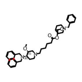 CO[C@H]1CN(CCCCCC(=O)OC2C[N+]3(Cc4ccccc4)CCC2CC3)CC[C@H]1N(Cc1ccccc1)Cc1ccccc1